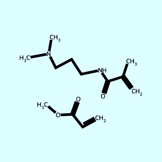 C=C(C)C(=O)NCCCN(C)C.C=CC(=O)OC